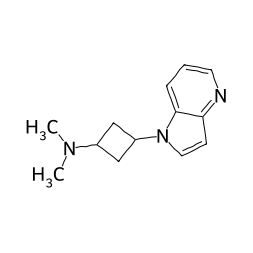 CN(C)C1CC(n2ccc3ncccc32)C1